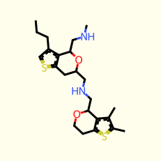 CCCc1csc2c1C(CNC)OC(CNCC1OCCc3sc(C)c(C)c31)C2